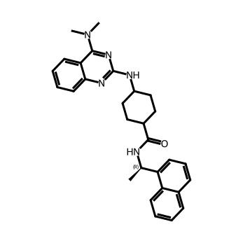 C[C@@H](NC(=O)C1CCC(Nc2nc(N(C)C)c3ccccc3n2)CC1)c1cccc2ccccc12